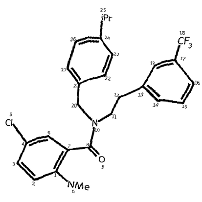 CNc1ccc(Cl)cc1C(=O)N(CCc1cccc(C(F)(F)F)c1)Cc1ccc(C(C)C)cc1